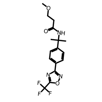 COCCC(=O)NC(C)(C)c1ccc(-c2noc(C(F)(F)F)n2)cc1